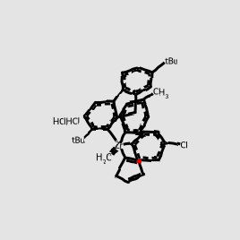 Cl.Cl.[CH2]=[Zr]([C]1=CC=CC1)([c]1ccc(C)cc1)([c]1ccc(Cl)cc1)[c]1c(C(C)(C)C)ccc2c1Cc1cc(C(C)(C)C)ccc1-2